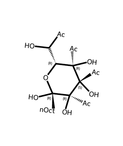 CCCCCCCC[C@@]1(O)O[C@H](C(O)C(C)=O)[C@](O)(C(C)=O)[C@@](O)(C(C)=O)[C@]1(O)C(C)=O